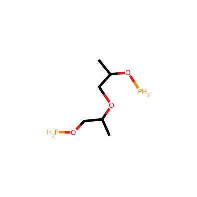 CC(COC(C)COP)OP